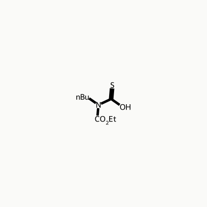 CCCCN(C(=O)OCC)C(O)=S